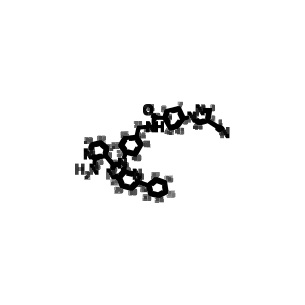 N#Cc1cnn(-c2ccc(C(=O)NCc3ccc(-n4c(-c5cccnc5N)nc5ccc(-c6ccccc6)nc54)cc3)cc2)c1